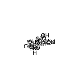 O=C(O)CCC(=O)N1N=C(c2c(Cc3ccccc3)c3cc(Cl)ccc3[nH]c2=O)CC1c1ccc(-c2ccc(Cl)cc2)cc1